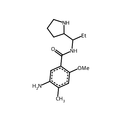 CCC(NC(=O)c1cc(N)c(C)cc1OC)C1CCCN1